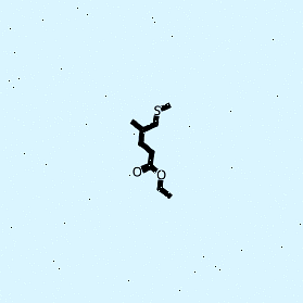 CCOC(=O)CCC(C)CSC